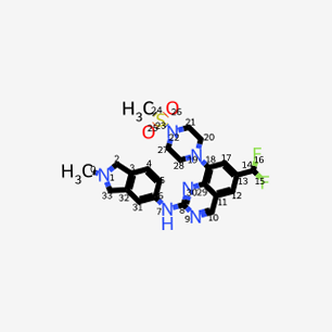 CN1Cc2ccc(Nc3ncc4cc(C(F)F)cc(N5CCN(S(C)(=O)=O)CC5)c4n3)cc2C1